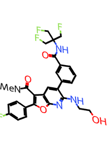 CNC(=O)c1c(-c2ccc(F)cc2)oc2nc(NCCO)c(-c3cccc(C(=O)NC(CF)(CF)CF)c3)cc12